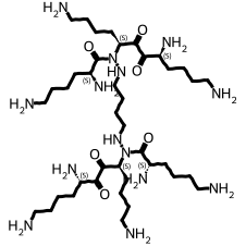 NCCCC[C@H](N)C(=O)C(=O)[C@H](CCCCN)N(NCCCCNN(C(=O)[C@@H](N)CCCCN)[C@@H](CCCCN)C(=O)C(=O)[C@@H](N)CCCCN)C(=O)[C@@H](N)CCCCN